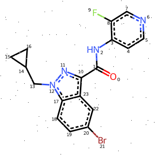 O=C(Nc1ccncc1F)c1nn(CC2CC2)c2ccc(Br)cc12